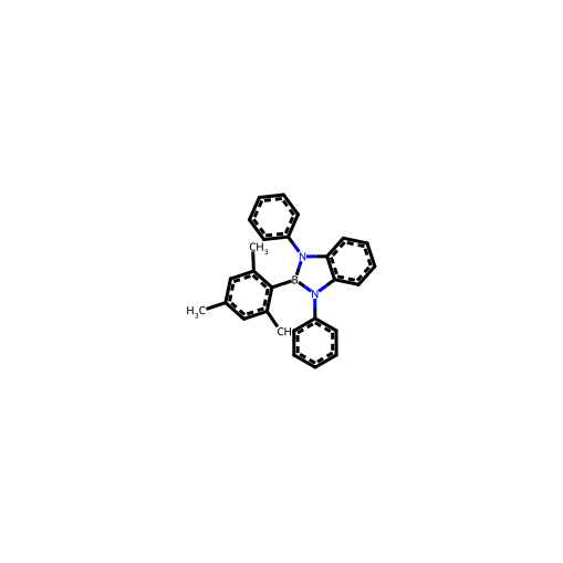 Cc1cc(C)c(B2N(c3ccccc3)c3ccccc3N2c2ccccc2)c(C)c1